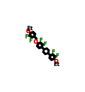 CCOc1ccc(COc2ccc(C3CCC(c4ccc(OCC)c(F)c4F)CC3)c(F)c2F)c(F)c1F